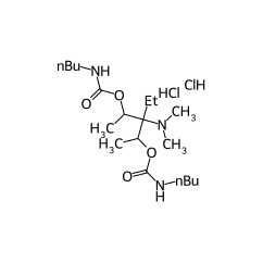 CCCCNC(=O)OC(C)C(CC)(C(C)OC(=O)NCCCC)N(C)C.Cl.Cl